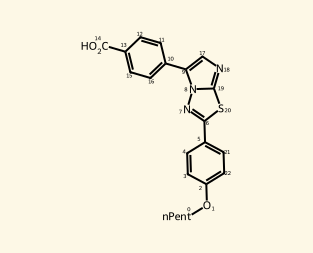 CCCCCOc1ccc(-c2nn3c(-c4ccc(C(=O)O)cc4)cnc3s2)cc1